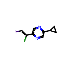 FC(=CI)c1cnc(C2CC2)cn1